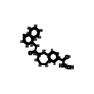 O=C(NO)c1ccc2c(c1)CCCN(C(=O)Cc1ccnc3ccccc13)C2